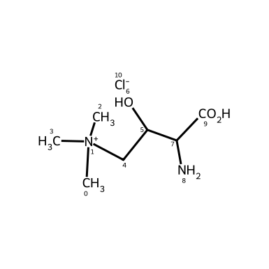 C[N+](C)(C)CC(O)C(N)C(=O)O.[Cl-]